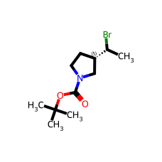 CC(Br)[C@H]1CCN(C(=O)OC(C)(C)C)C1